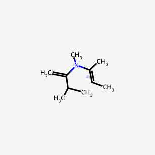 C=C(C(C)C)N(C)/C(C)=C/C